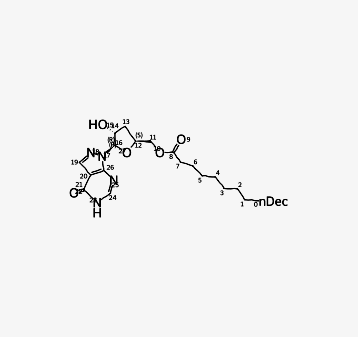 CCCCCCCCCCCCCCCCCC(=O)OC[C@@H]1C[C@@H](O)[C@H](n2ncc3c(=O)[nH]cnc32)O1